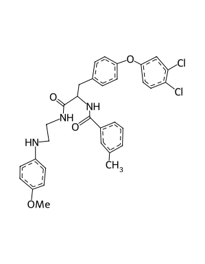 COc1ccc(NCCNC(=O)C(Cc2ccc(Oc3ccc(Cl)c(Cl)c3)cc2)NC(=O)c2cccc(C)c2)cc1